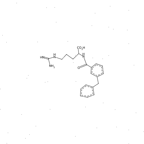 N=C(N)NCCCC(NC(=O)c1cccc(Cc2ccccc2)c1)C(=O)O